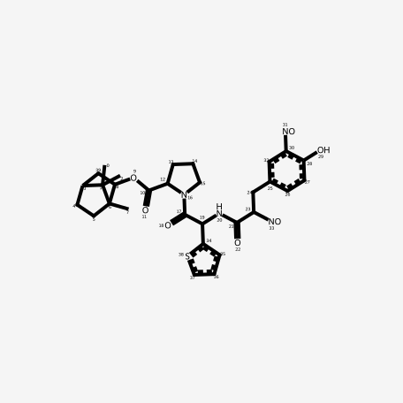 CC1(C)C2CCC1(C)C(OC(=O)C1CCCN1C(=O)C(NC(=O)C(Cc1ccc(O)c(N=O)c1)N=O)c1cccs1)C2